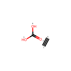 C#C.O=C(O)O